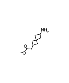 COC(=O)CC1CC2(CC(N)C2)C1